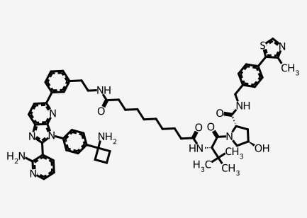 Cc1ncsc1-c1ccc(CNC(=O)[C@@H]2C[C@@H](O)CN2C(=O)[C@@H](NC(=O)CCCCCCCCC(=O)NCCc2cccc(-c3ccc4nc(-c5cccnc5N)n(-c5ccc(C6(N)CCC6)cc5)c4n3)c2)C(C)(C)C)cc1